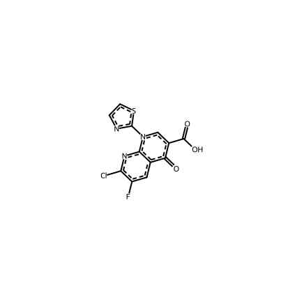 O=C(O)c1cn(-c2nccs2)c2nc(Cl)c(F)cc2c1=O